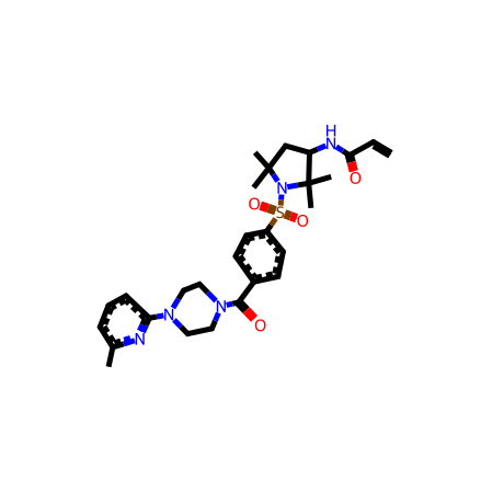 C=CC(=O)NC1CC(C)(C)N(S(=O)(=O)c2ccc(C(=O)N3CCN(c4cccc(C)n4)CC3)cc2)C1(C)C